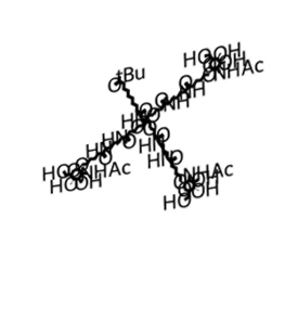 CC(=O)NC1C(O)[C@H](O)C(CO)O[C@H]1OCCCCC(=O)NCCCNC(=O)CCOCC(COCCC(=O)NCCCNC(=O)CCCCO[C@@H]1OC(CO)[C@@H](O)C(O)C1NC(C)=O)(COCCC(=O)NCCCNC(=O)CCCCO[C@@H]1OC(CO)[C@@H](O)C(O)C1NC(C)=O)NC(=O)CCCCCCCCC(=O)C(C)(C)C